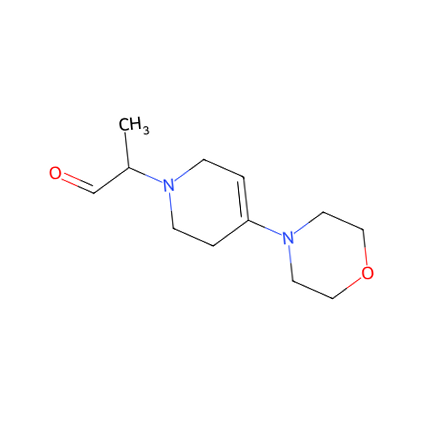 CC(C=O)N1CC=C(N2CCOCC2)CC1